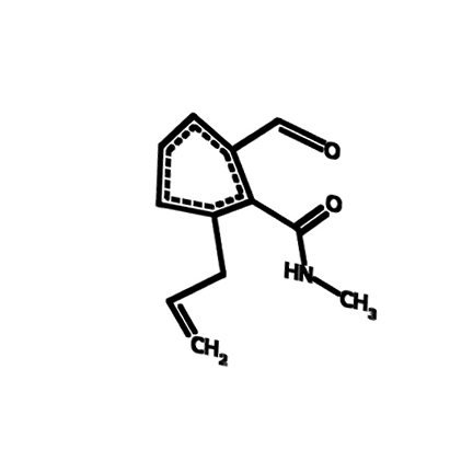 C=CCc1cccc(C=O)c1C(=O)NC